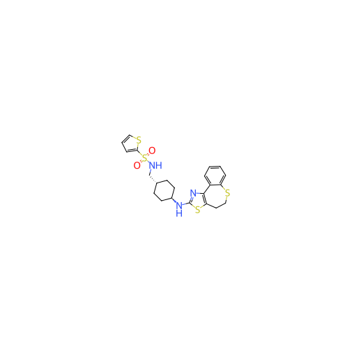 O=S(=O)(NC[C@H]1CC[C@H](Nc2nc3c(s2)CCSc2ccccc2-3)CC1)c1cccs1